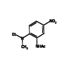 CCN(C)c1ccc([N+](=O)[O-])cc1NC(C)=O